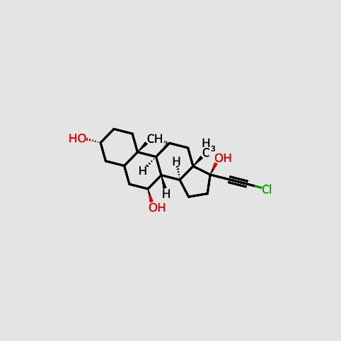 C[C@]12CC[C@@H](O)CC1C[C@H](O)[C@@H]1[C@@H]2CC[C@@]2(C)[C@H]1CC[C@@]2(O)C#CCl